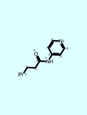 CC(C)CCC(=O)Nc1ccncc1